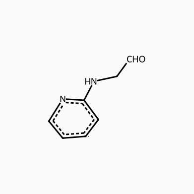 O=CCNc1c[c]ccn1